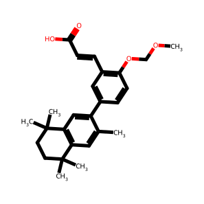 COCOc1ccc(-c2cc3c(cc2C)C(C)(C)CCC3(C)C)cc1C=CC(=O)O